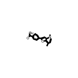 CCC(C)C(=O)c1ccc(C2=CC3C(=C(C)C=CN3C)O2)cc1